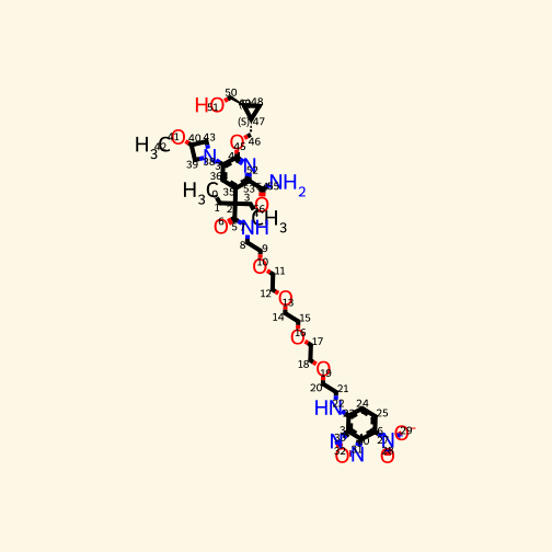 CCC(CC)(C(=O)NCCOCCOCCOCCOCCNc1ccc([N+](=O)[O-])c2nonc12)c1cc(N2CC(OC)C2)c(OC[C@H]2C[C@@H]2CO)nc1C(N)=O